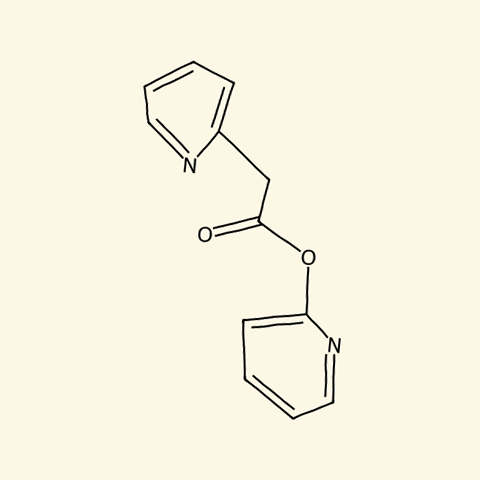 O=C(Cc1ccccn1)Oc1ccccn1